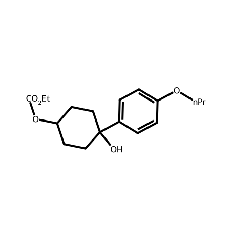 CCCOc1ccc(C2(O)CCC(OC(=O)OCC)CC2)cc1